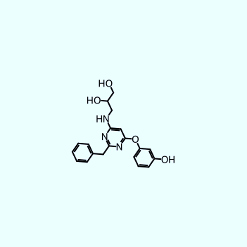 OCC(O)CNc1cc(Oc2cccc(O)c2)nc(Cc2ccccc2)n1